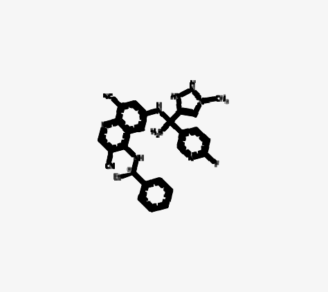 BC(Nc1cc(C#N)c2ncc(C#N)c(N[C@H](CC)c3ccccc3)c2c1)(C1=CN(C)NN1)c1ccc(F)nc1